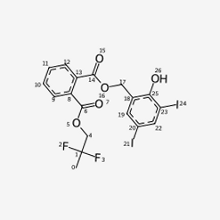 CC(F)(F)COC(=O)c1ccccc1C(=O)OCc1cc(I)cc(I)c1O